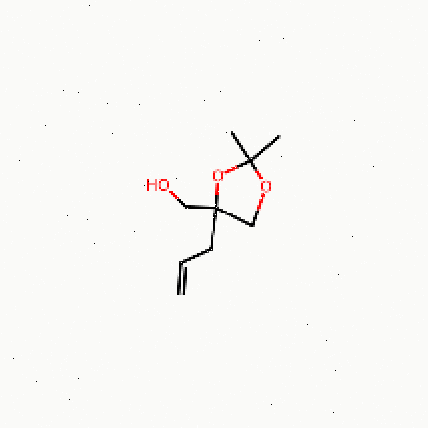 C=CCC1(CO)COC(C)(C)O1